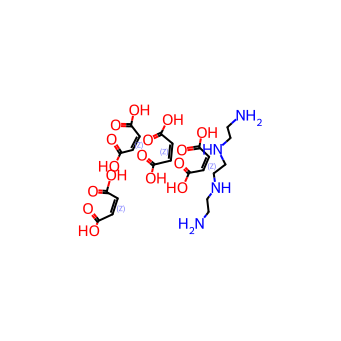 NCCNCCNCCN.O=C(O)/C=C\C(=O)O.O=C(O)/C=C\C(=O)O.O=C(O)/C=C\C(=O)O.O=C(O)/C=C\C(=O)O